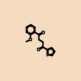 COc1ccccc1C(=O)CCC(=O)c1cccs1